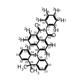 [2H]c1c([2H])c([2H])c(N2C(=O)c3c([2H])c([2H])c([2H])c4c(N5c6ccccc6C(C)(C)c6ccccc65)c([2H])c([2H])c(c34)C2=O)c([2H])c1[2H]